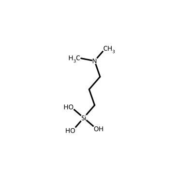 CN(C)CCC[Si](O)(O)O